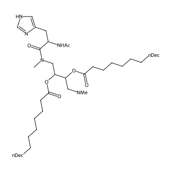 CCCCCCCCCCCCCCCCC(=O)OC(CNC)C(CN(C)C(=O)C(Cc1c[nH]cn1)NC(C)=O)OC(=O)CCCCCCCCCCCCCCCC